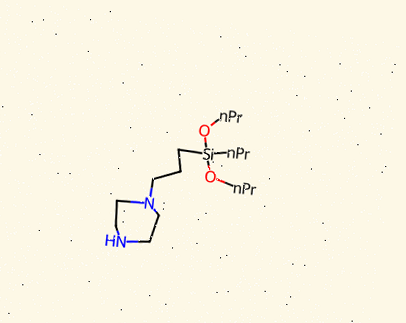 CCCO[Si](CCC)(CCCN1CCNCC1)OCCC